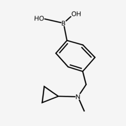 CN(Cc1ccc(B(O)O)cc1)C1CC1